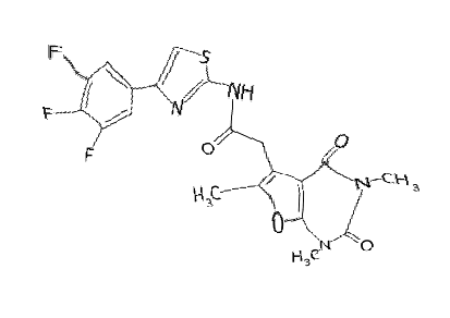 Cc1oc2c(c1CC(=O)Nc1nc(-c3cc(F)c(F)c(F)c3)cs1)c(=O)n(C)c(=O)n2C